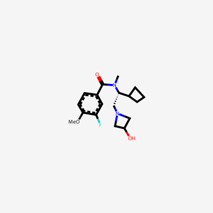 COc1ccc(C(=O)N(C)[C@@H](CN2CC(O)C2)C2CCC2)cc1F